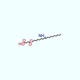 CCCCCCCCCCCCCCCCCCOC(=O)CCC(=O)O.N